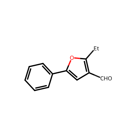 CCc1oc(-c2ccccc2)cc1C=O